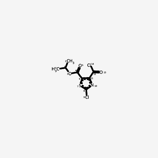 CC(C)OC(=O)c1sc(Cl)nc1C(=O)Cl